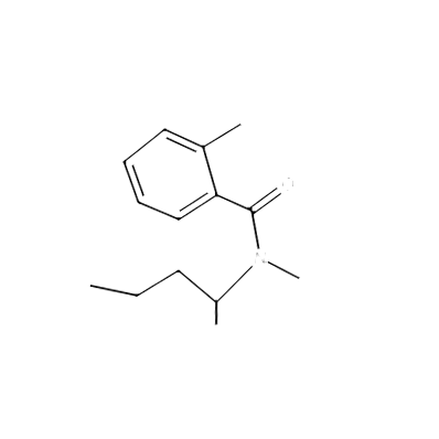 CCCC(C)N(C)C(=O)c1ccccc1C